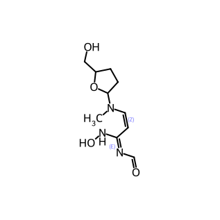 CN(/C=C\C(=N/C=O)NO)C1CCC(CO)O1